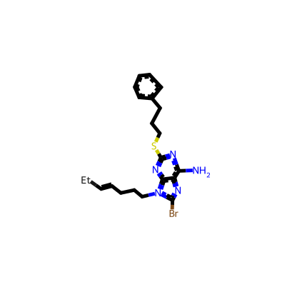 CC/C=C/CCCn1c(Br)nc2c(N)nc(SCCCc3ccccc3)nc21